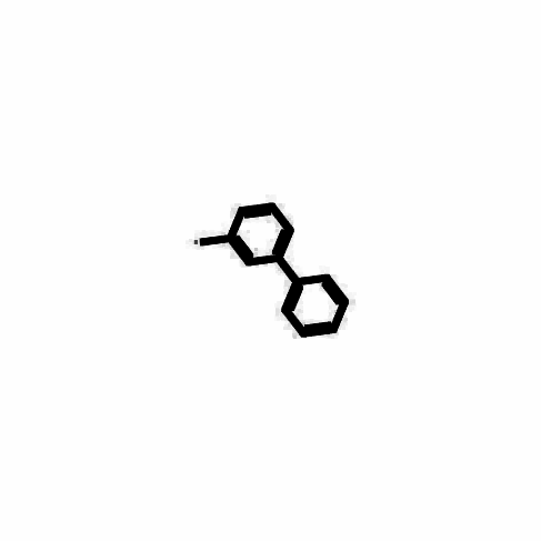 [CH2]c1cccc(-c2ccccc2)c1